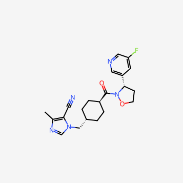 Cc1ncn(C[C@H]2CC[C@H](C(=O)N3OCC[C@H]3c3cncc(F)c3)CC2)c1C#N